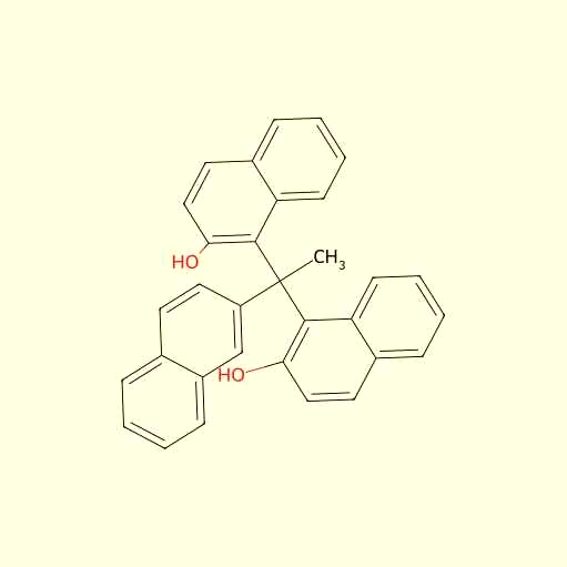 CC(c1ccc2ccccc2c1)(c1c(O)ccc2ccccc12)c1c(O)ccc2ccccc12